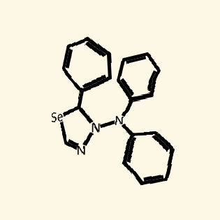 C1=NN(N(c2ccccc2)c2ccccc2)C(c2ccccc2)[Se]1